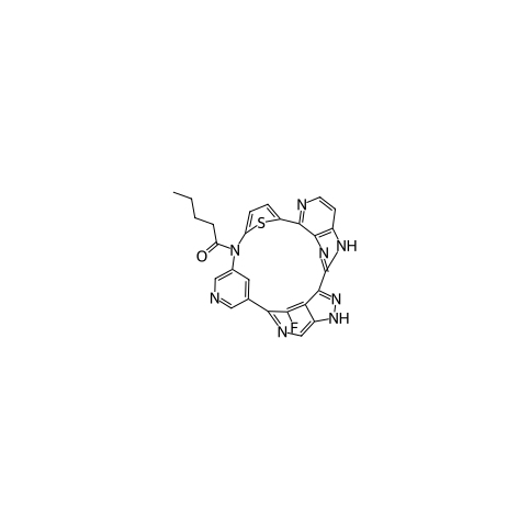 CCCCC(=O)n1c2cncc(c2)c2ncc3[nH]nc(c4nc5c(ccnc5c5ccc1s5)[nH]4)c3c2F